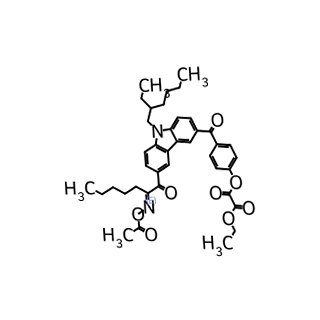 CCCCC/C(=N\OC(C)=O)C(=O)c1ccc2c(c1)c1cc(C(=O)c3ccc(OC(=O)C(=O)OCC)cc3)ccc1n2CC(CC)CCCC